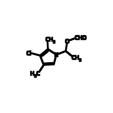 Cc1cn(C(C)OC=O)c(C)c1Cl